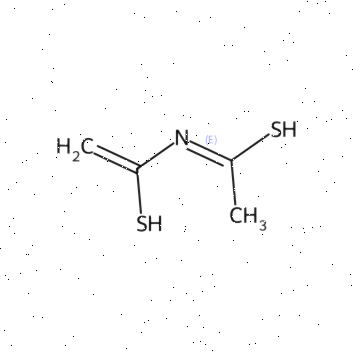 C=C(S)/N=C(\C)S